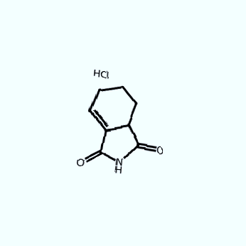 Cl.O=C1NC(=O)C2CCCC=C12